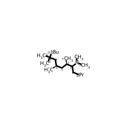 CC(C)CC([C@H](C)C[C@@H](C)CC(C)(C)C(C)(C)C)N(C)C